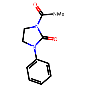 CNC(=O)N1CCN(c2ccccc2)C1=O